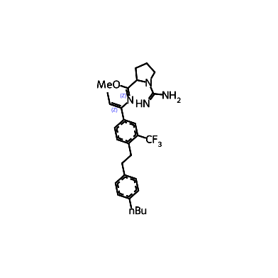 C/C=C(\N=C(/OC)C1CCCN1C(=N)N)c1ccc(CCc2ccc(CCCC)cc2)c(C(F)(F)F)c1